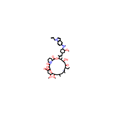 C=CCn1ccc2cc(N(C)C3CCC(C=C(C)C4OC(=O)C5CCCCN5C(=O)C(=O)C5(O)OC(C(OC)CC(C)C/C(C)=C/C(CC)C(=O)CC(O)C4C)C(OC)CC5C)CC3OC)ccc21